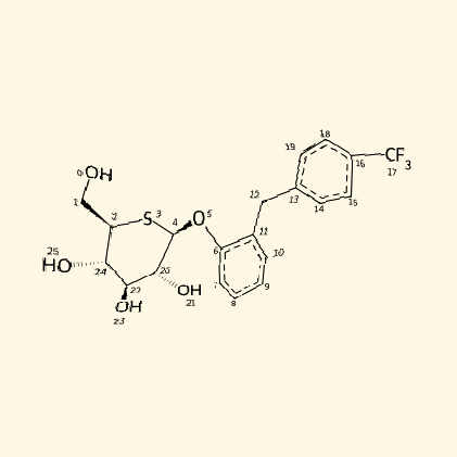 OC[C@H]1S[C@@H](Oc2ccccc2Cc2ccc(C(F)(F)F)cc2)[C@H](O)[C@@H](O)[C@@H]1O